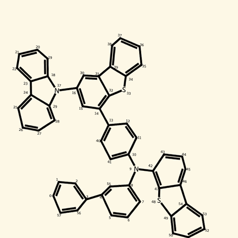 c1ccc(-c2cccc(N(c3ccc(-c4cc(-n5c6ccccc6c6ccccc65)cc5c4sc4ccccc45)cc3)c3cccc4c3sc3ccccc34)c2)cc1